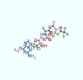 CCOc1nc(N)nc2c1ncn2[C@@H]1O[C@H](CO[P@](=O)(N[C@@H](C)C(=O)OC(C)C)OCCSC(=O)C(C)(C)C)[C@@H](O)C1(Cl)Cl